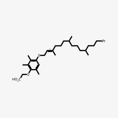 C/C(=C\CSc1cc(C)c(OCC(=O)O)c(C)c1C)CCCC(C)CCCC(C)CCCC(C)C